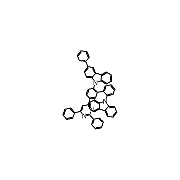 c1ccc(-c2ccc3c(c2)c2ccccc2n3-c2ccc(-c3cc(-c4ccccc4)nc(-c4ccccc4)n3)cc2-c2ccccc2-n2c3ccccc3c3ccccc32)cc1